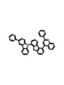 c1ccc(-c2ccc3c(c2)c2ccccc2n3-c2cccc3c2Cc2cccc(-c4cc(-c5ccccc5)nc5ccccc45)c2-3)cc1